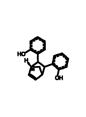 Oc1ccccc1C1C2C=C[C@@H](C2)C1c1ccccc1O